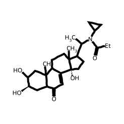 CCC(=O)N(C1CC1)C(C)C1CC[C@@]2(O)C3=CC(=O)C4C[C@@H](O)C(O)CC4(C)C3CCC12C